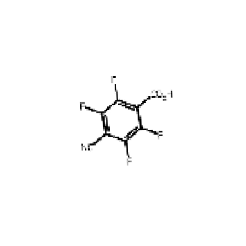 N#Cc1c(F)c(F)c(C(=O)O)c(F)c1F